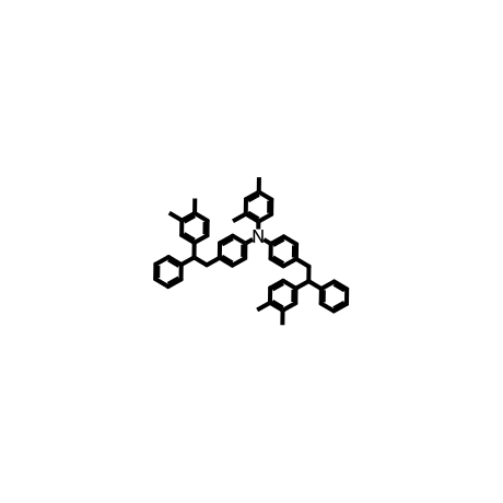 Cc1ccc(N(c2ccc(CC(c3ccccc3)c3ccc(C)c(C)c3)cc2)c2ccc(CC(c3ccccc3)c3ccc(C)c(C)c3)cc2)c(C)c1